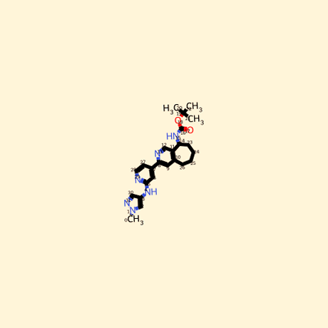 Cn1cc(Nc2cc(-c3cc4c(cn3)C(NC(=O)OC(C)(C)C)CCCC4)ccn2)cn1